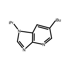 CCC(C)c1cnc2ncn(C(C)C)c2c1